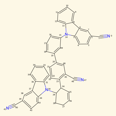 N#Cc1ccc2c(c1)c1ccccc1n2-c1cccc(-c2ccc(C3C=CCCC3n3c4ccccc4c4cc(C#N)ccc43)c(C#N)c2)c1